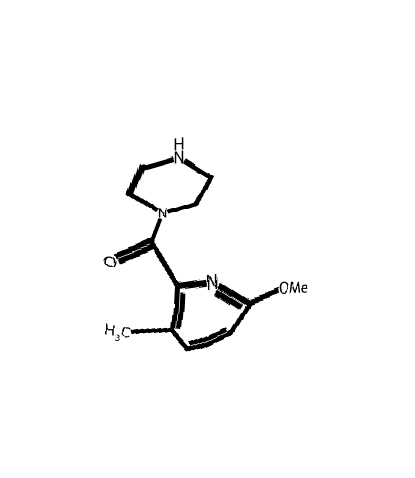 COc1ccc(C)c(C(=O)N2CCNCC2)n1